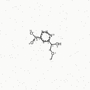 COCC(O)c1cc([N+](=O)[O-])ccn1